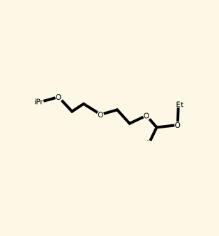 [CH2]C(OCC)OCCOCCOC(C)C